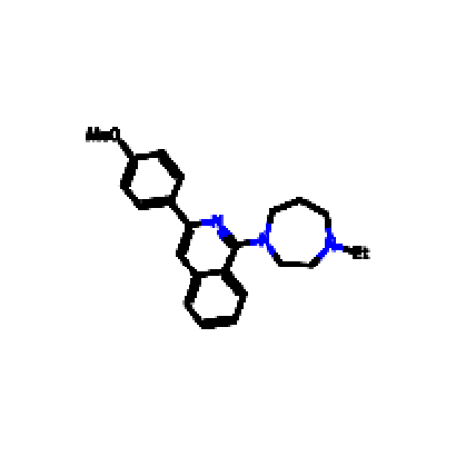 CCN1CCCN(c2nc(-c3ccc(OC)cc3)cc3ccccc23)CC1